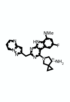 CNc1cc(F)cc2c1[nH]c1nc(Cc3cc4ncccn4n3)nc(N3C[C@H](N)C4(CC4)C3)c12